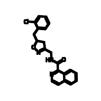 O=C(NCC1=NOC(Cc2ccccc2Cl)C1)c1nccc2ccccc12